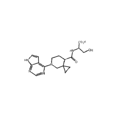 O=C(O)C(CO)NC(=O)C1CCN(c2ncnc3[nH]ccc23)CC12CC2